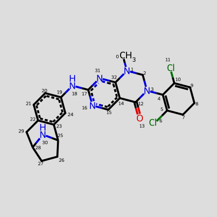 CN1CN(C2=C(Cl)CCC=C2Cl)C(=O)c2cnc(Nc3ccc4c(c3)C3CCC(C4)N3)nc21